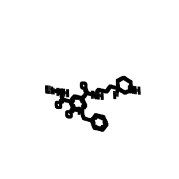 CCNC(=O)c1cc(C(=O)NCCC[C@]2(F)CCCNC2)cn(Cc2ccccc2)c1=O